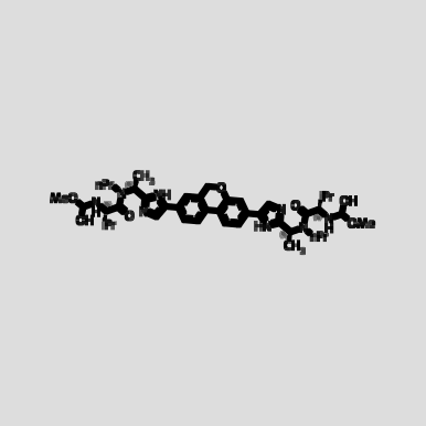 CCCN(C(=O)[C@@H](NC(O)OC)C(C)C)[C@@H](C)c1ncc(-c2ccc3c(c2)COc2cc(-c4cnc([C@H](C)N(CCC)C(=O)[C@@H](NC(O)OC)C(C)C)[nH]4)ccc2-3)[nH]1